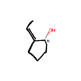 CC=C1CCC[C@H]1O